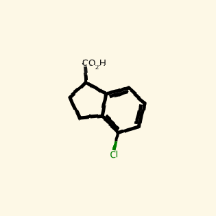 O=C(O)C1CCc2c(Cl)cccc21